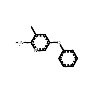 Cc1cc(Oc2ccccc2)cnc1N